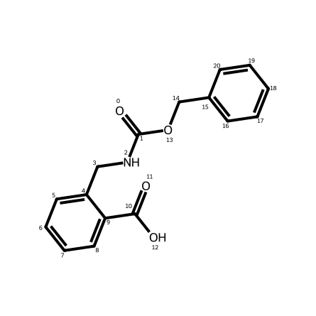 O=C(NCc1ccccc1C(=O)O)OCc1ccccc1